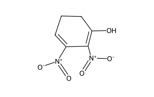 O=[N+]([O-])C1=CCCC(O)=C1[N+](=O)[O-]